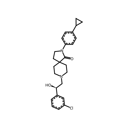 O=C1N(c2ccc(C3CC3)cc2)CCC12CCN(C[C@H](O)c1cccc(Cl)c1)CC2